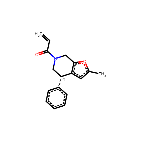 C=CC(=O)N1Cc2oc(C)cc2[C@H](c2ccccc2)C1